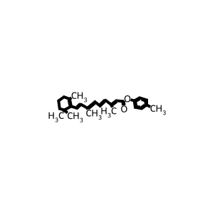 CC1=C(/C=C/C(C)=C/C=C/C(C)=C/C(=O)Oc2ccc(C)cc2)C(C)(C)CCC1